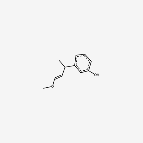 [CH2]C(C=COC)c1cccc(O)c1